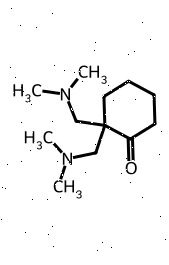 CN(C)CC1(CN(C)C)CCCCC1=O